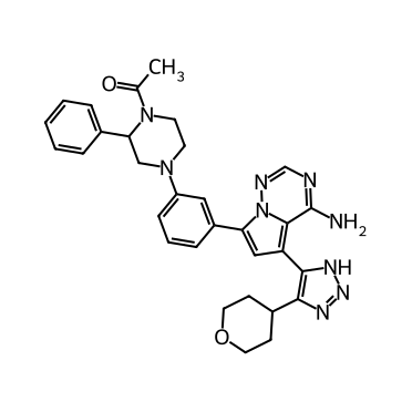 CC(=O)N1CCN(c2cccc(-c3cc(-c4[nH]nnc4C4CCOCC4)c4c(N)ncnn34)c2)CC1c1ccccc1